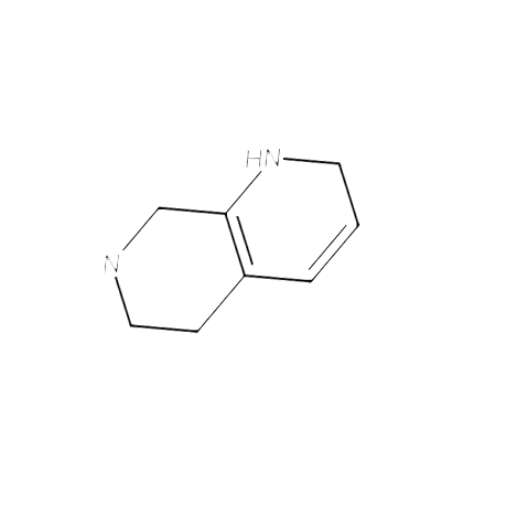 C1=CC2=C(C[N]CC2)NC1